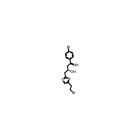 N=C(C[C@@H](O)Cc1nc(CCBr)cs1)c1ccc(Br)cc1